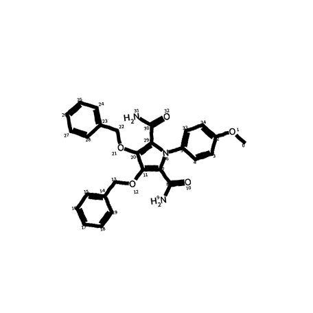 COc1ccc(-n2c(C(N)=O)c(OCc3ccccc3)c(OCc3ccccc3)c2C(N)=O)cc1